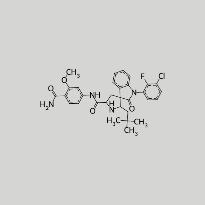 COc1cc(NC(=O)C2CC3(C(=O)N(c4cccc(Cl)c4F)c4ccccc43)C(CC(C)(C)C)N2)ccc1C(N)=O